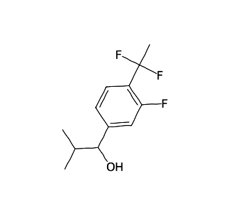 CC(C)C(O)c1ccc(C(C)(F)F)c(F)c1